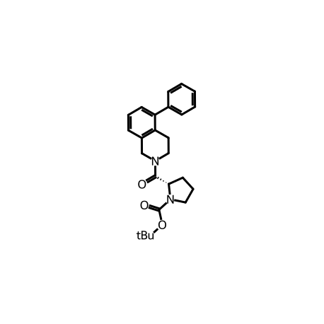 CC(C)(C)OC(=O)N1CCC[C@H]1C(=O)N1CCc2c(cccc2-c2ccccc2)C1